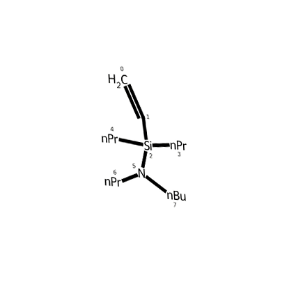 C=C[Si](CCC)(CCC)N(CCC)CCCC